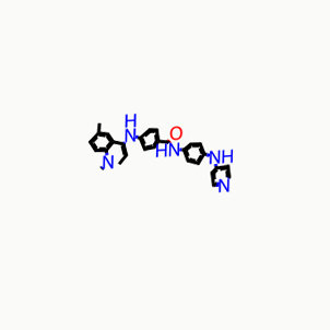 C=Nc1ccc(C)cc1/C(=C\C)Nc1ccc(C(=O)Nc2ccc(Nc3ccncc3)cc2)cc1